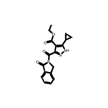 CCOC(=O)c1c(C(=O)N2Cc3ccccc3C2=O)n[nH]c1C1CC1